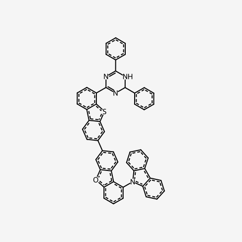 c1ccc(C2=NC(c3cccc4c3sc3cc(-c5ccc6c(c5)oc5cccc(-n7c8ccccc8c8ccccc87)c56)ccc34)=NC(c3ccccc3)N2)cc1